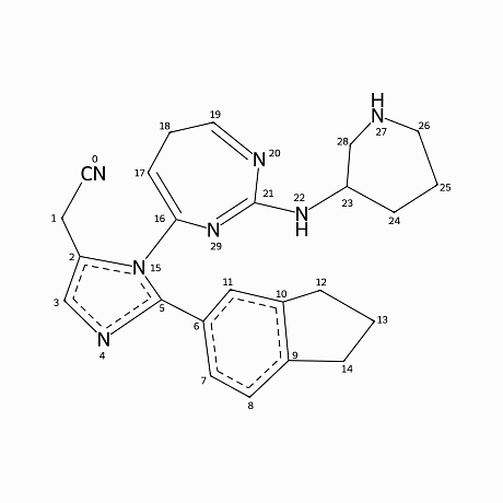 N#CCc1cnc(-c2ccc3c(c2)CCC3)n1C1=CCC=NC(NC2CCCNC2)=N1